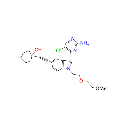 COCCOCCn1cc(-c2nc(N)ncc2Cl)c2cc(C#CC3(O)CCCCC3)ccc21